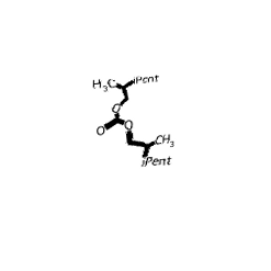 CCCC(C)C(C)COC(=O)OCC(C)C(C)CCC